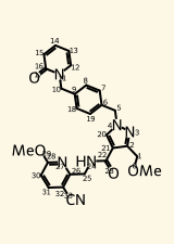 COCc1nn(Cc2ccc(Cn3ccccc3=O)cc2)cc1C(=O)NCc1nc(OC)ccc1C#N